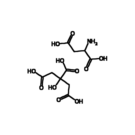 NC(CC(=O)O)C(=O)O.O=C(O)CC(O)(CC(=O)O)C(=O)O